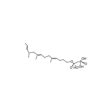 C/C=C/C(C)C/C(C)=C/CC/C(C)=C/CCCOP(=O)(O)CP(=O)(O)O